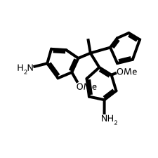 COc1cc(N)ccc1C(C)(c1ccccc1)c1ccc(N)cc1OC